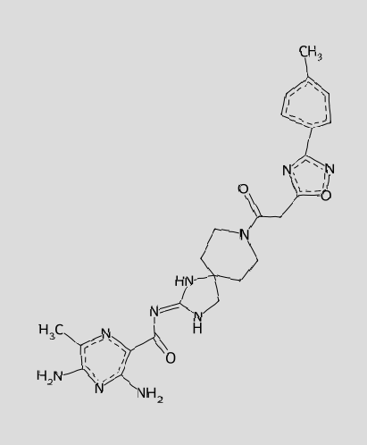 Cc1ccc(-c2noc(CC(=O)N3CCC4(CC3)CN/C(=N\C(=O)c3nc(C)c(N)nc3N)N4)n2)cc1